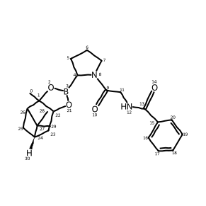 CC12OB(C3CCCN3C(=O)CNC(=O)c3ccccc3)OC1C[C@@H]1CC2C1(C)C